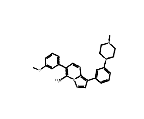 COc1cccc(-c2cnc3c(-c4cccc(N5CCN(C)CC5)c4)cnn3c2N)c1